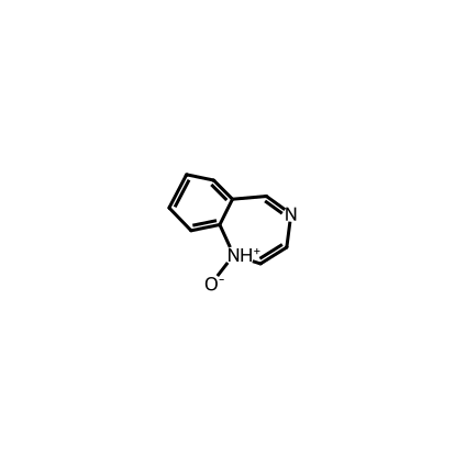 [O-][NH+]1C=CN=Cc2ccccc21